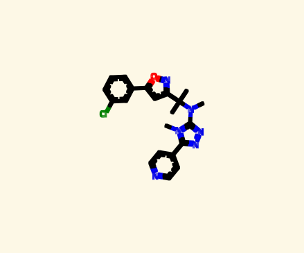 CN(c1nnc(-c2ccncc2)n1C)C(C)(C)c1cc(-c2cccc(Cl)c2)on1